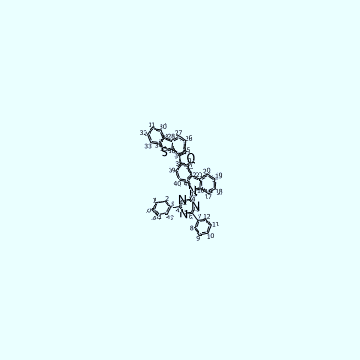 c1ccc(-c2nc(-c3ccccc3)nc(-n3c4ccccc4c4c5oc6ccc7c8ccccc8sc7c6c5ccc43)n2)cc1